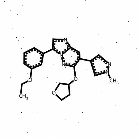 CCOc1cccc(-c2cnc3cc(-c4cnn(C)c4)c(OC4CCOC4)nn23)c1